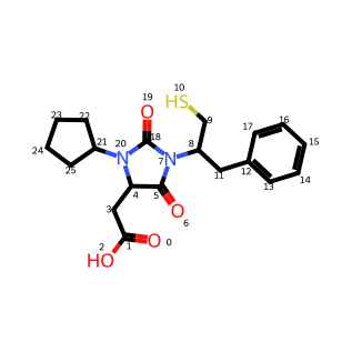 O=C(O)CC1C(=O)N(C(CS)Cc2ccccc2)C(=O)N1C1CCCC1